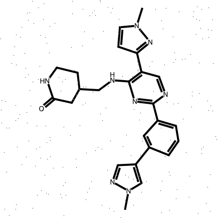 Cn1cc(-c2cccc(-c3ncc(-c4ccn(C)n4)c(NCC4CCNC(=O)C4)n3)c2)cn1